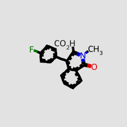 Cn1c(C(=O)O)c(-c2ccc(F)cc2)c2ccccc2c1=O